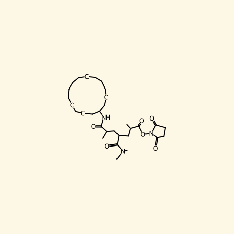 CC(CC(CC(C)C(=O)ON1C(=O)CCC1=O)C(=O)N(C)C)C(=O)NC1CCCCCCCCCCCCCC1